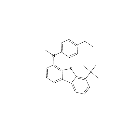 CCc1ccc(N(C)c2cccc3c2sc2c(C(C)(C)C)cccc23)cc1